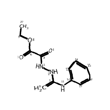 C=C(NNC(=O)C(=O)OCC)Nc1ccccc1